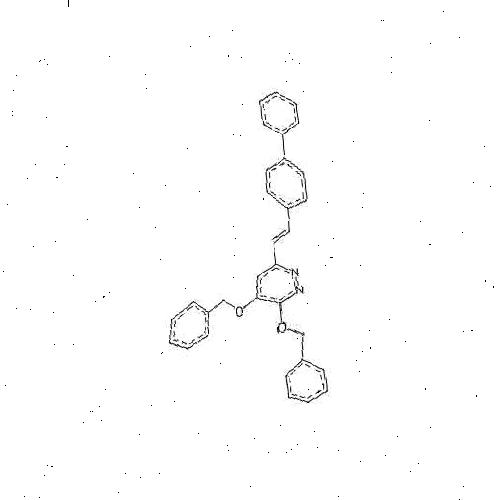 C(=C\c1cc(OCc2ccccc2)c(OCc2ccccc2)nn1)/c1ccc(-c2ccccc2)cc1